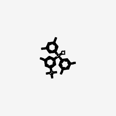 Cc1cc(C)cc([Si](Cl)(c2cc(C)cc(C)c2)c2cc(C)cc([Si](C)(C)C)c2)c1